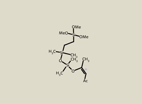 CO[Si](CC[Si](C)(C)O[Si](C)(C)O/C(C)=C\C(C)=O)(OC)OC